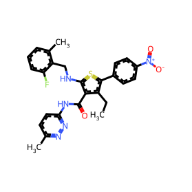 CCc1c(-c2ccc([N+](=O)[O-])cc2)sc(NCc2c(C)cccc2F)c1C(=O)Nc1ccc(C)nn1